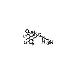 CC/C(=C(/c1ccc(OCCNC/C=C/C(=O)N(C)C)nc1)c1[nH]c2ccccc2c1Cl)c1ccc(F)cc1Cl